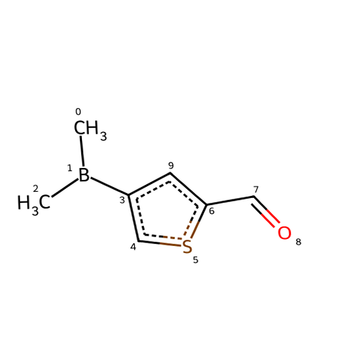 CB(C)c1csc(C=O)c1